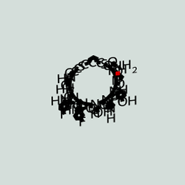 C[C@@]12CCCN1C(=O)[C@H](Cc1ccc(O)cc1)NC(=O)[C@H](Cc1c[nH]cn1)NC(=O)[C@H](CC(=O)O)NC(=O)[C@H](Cc1c[nH]c3ccc(F)cc13)NC(=O)[C@H](Cc1c[nH]c3ccc(F)cc13)NC(=O)CNC(=O)C1(CC1)NC(=O)CCSCc1cccc(c1)CSC[C@@H](C(N)=O)NC2=O